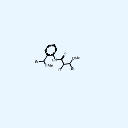 CCC(OC)c1ccccc1NC(=O)C(Cl)C(CC)OC